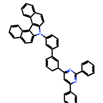 C1=CC(c2cccc(-n3c4ccc5ccccc5c4c4c5ccccc5ccc43)c2)=CC(c2cc(-c3ccccc3)nc(-c3ccccc3)n2)C1